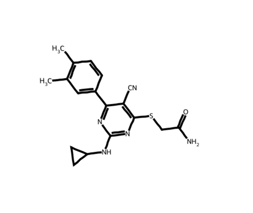 Cc1ccc(-c2nc(NC3CC3)nc(SCC(N)=O)c2C#N)cc1C